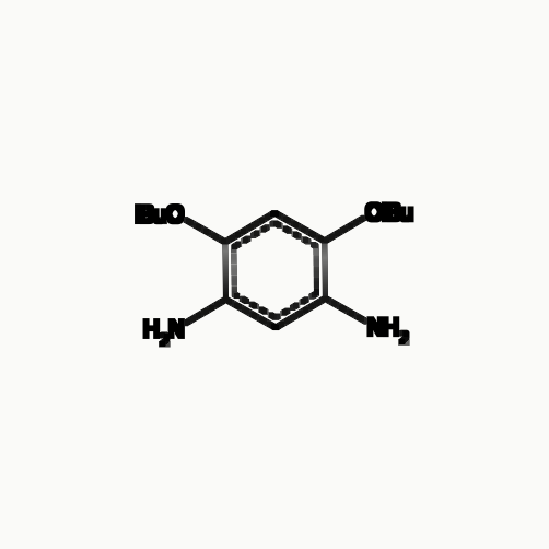 CC(C)COc1cc(OCC(C)C)c(N)cc1N